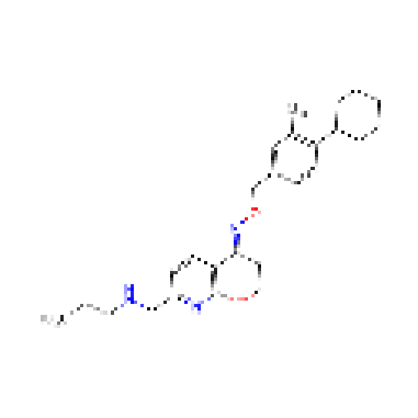 O=C(O)CCNCc1ccc2c(n1)OCCC2=NOCc1ccc(C2CCCCC2)c(C(F)(F)F)c1